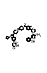 [2H]C1C=CN(c2ccc3c(C4CCN(CC5(F)CCN(C(=O)c6ccc(C7CN(c8cc(-c9ccccc9O)nnc8N)CCO7)c(C)c6)CC5)CC4)cn(C4CCC4)c3c2)[C@@H]([2H])N1